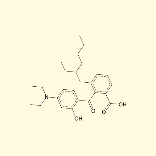 CCCCC(CC)Cc1cccc(C(=O)O)c1C(=O)c1ccc(N(CC)CC)cc1O